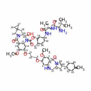 COc1cc2c(cc1OCCCOc1cc3c(cc1OC)C(=O)N1CC4(CC4)CC1C(O)N3C(=O)OCc1ccc(NC(=O)[C@H](C)NC(=O)[C@@H](N)C(C)C)cc1)NCC1CC(c3ccc(C)cc3)=CN1C2=O